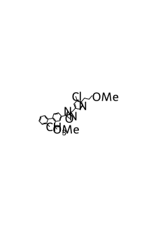 COCCCc1ncc(-c2noc(-c3ccc(-c4ccccc4C)c(COC)c3)n2)cc1Cl